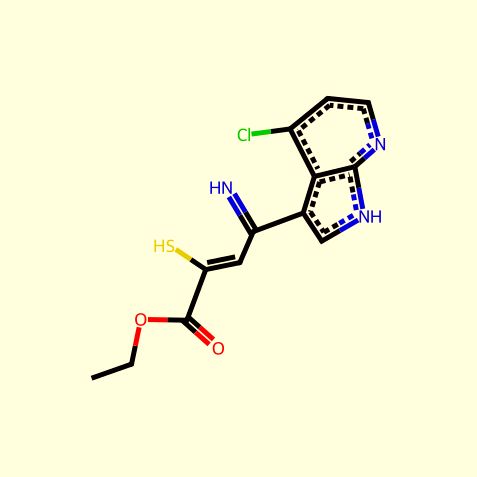 CCOC(=O)/C(S)=C/C(=N)c1c[nH]c2nccc(Cl)c12